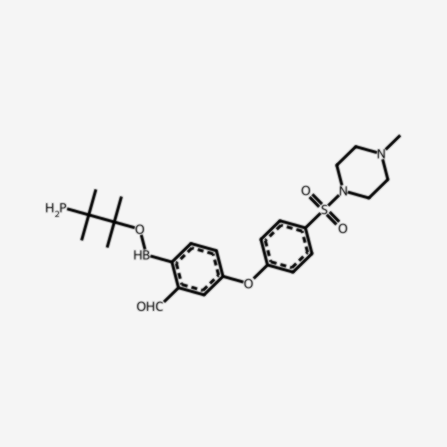 CN1CCN(S(=O)(=O)c2ccc(Oc3ccc(BOC(C)(C)C(C)(C)P)c(C=O)c3)cc2)CC1